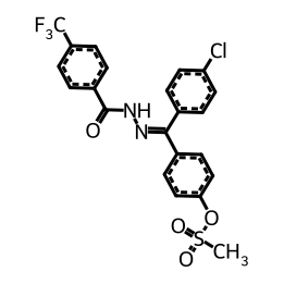 CS(=O)(=O)Oc1ccc(C(=NNC(=O)c2ccc(C(F)(F)F)cc2)c2ccc(Cl)cc2)cc1